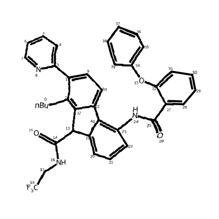 CCCCc1c(-c2ccccn2)ccc2c1C(C(=O)NCC(F)(F)F)c1cccc(NC(=O)c3ccccc3Oc3ccccc3)c1-2